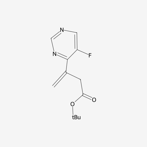 C=C(CC(=O)OC(C)(C)C)c1ncncc1F